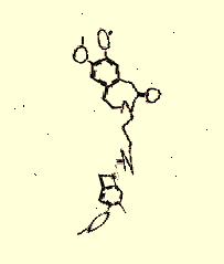 COc1cc2c(cc1C)[C@@H](CN(C)CCCN1CCc3cc(OC)c(OC)cc3CC1=O)C2